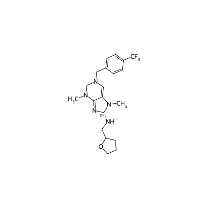 CN1CN(Cc2ccc(C(F)(F)F)cc2)C=C2C1=N[C@@H](NCC1CCCO1)N2C